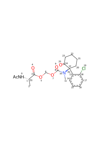 CC(=O)N[C@@H](C)C(=O)OCOC(=O)N(C)[C@]1(c2ccccc2Cl)CCCCC1=O